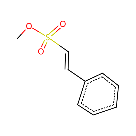 COS(=O)(=O)C=Cc1ccccc1